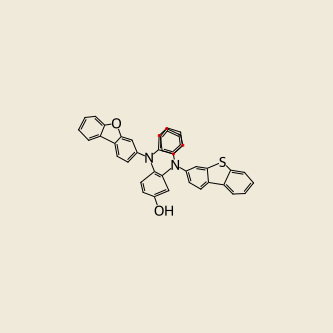 Oc1ccc(N(c2ccccc2)c2ccc3c(c2)oc2ccccc23)c(N(c2ccccc2)c2ccc3c(c2)sc2ccccc23)c1